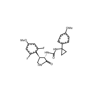 COc1ccc(C2(NC(=O)N[C@@H]3C(=O)NC[C@H]3c3c(F)cc(OC)cc3F)CC2)cc1